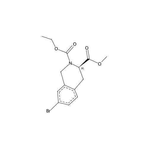 CCOC(=O)N1Cc2cc(Br)ccc2C[C@@H]1C(=O)OC